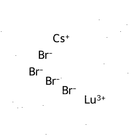 [Br-].[Br-].[Br-].[Br-].[Cs+].[Lu+3]